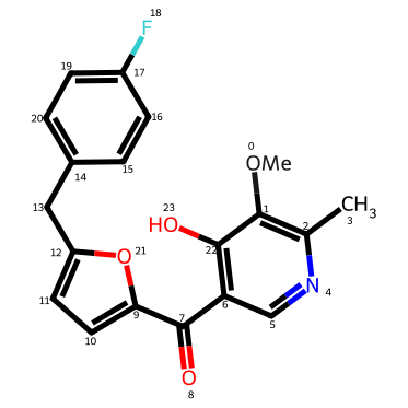 COc1c(C)ncc(C(=O)c2ccc(Cc3ccc(F)cc3)o2)c1O